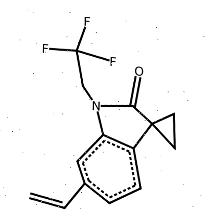 C=Cc1ccc2c(c1)N(CC(F)(F)F)C(=O)C21CC1